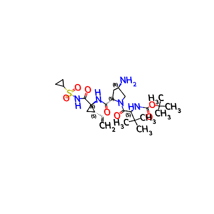 C=C[C@@H]1C[C@]1(NC(=O)[C@@H]1C[C@@H](N)CN1C(=O)[C@@H](NC(=O)OC(C)(C)C)C(C)(C)C)C(=O)NS(=O)(=O)C1CC1